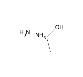 CCO.N.N